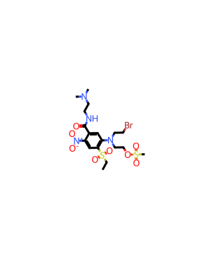 CCS(=O)(=O)c1cc([N+](=O)[O-])c(C(=O)NCCN(C)C)cc1N(CCBr)CCOS(C)(=O)=O